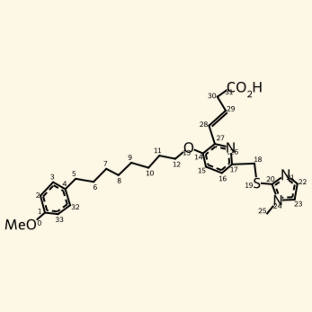 COc1ccc(CCCCCCCCOc2ccc(CSc3nccn3C)nc2C=CCC(=O)O)cc1